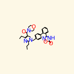 CCCC1=NC(CC)=C(C(=O)N2CCOCC2)CN1Cc1ccc(-c2ccccc2-c2noc(=O)[nH]2)cc1